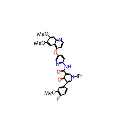 COc1cc(-c2cn(C(C)C)cc(C(=O)Nc3ccc(Oc4ccnc5cc(OC)c(OC)cc45)cn3)c2=O)ccc1F